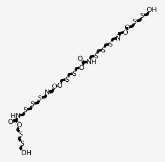 O=C(NCSCSCSC/N=C/OOCSCSCOC(=O)NCSCSCSC/N=C/OOCSCSCO)OCSCSCO